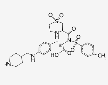 Cc1ccc(S(=O)(=O)N(C(=O)C2CS(=O)(=O)CCN2)[C@@H](Cc2ccc(NCC3CCNCC3)cc2)C(=O)O)cc1